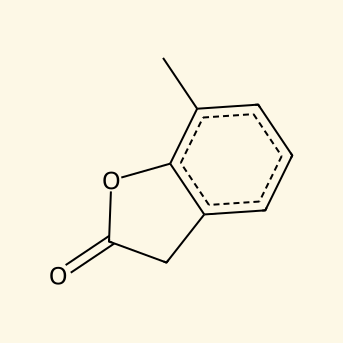 Cc1cccc2c1OC(=O)C2